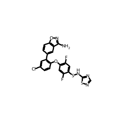 Nc1noc2ccc(-c3cc(Cl)ccc3Oc3cc(F)c(SNc4ncns4)cc3F)cc12